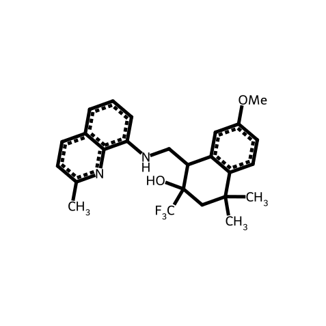 COc1ccc2c(c1)C(CNc1cccc3ccc(C)nc13)C(O)(C(F)(F)F)CC2(C)C